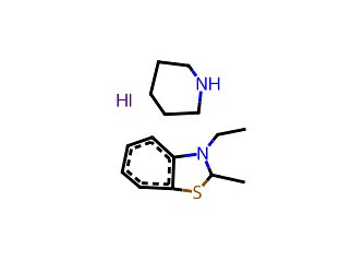 C1CCNCC1.CCN1c2ccccc2SC1C.I